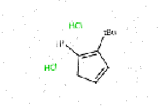 CC(C)(C)C1=[C]([Hf])CC=C1.Cl.Cl